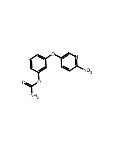 NC(=O)Oc1cccc(Oc2ccc([N+](=O)[O-])nc2)c1